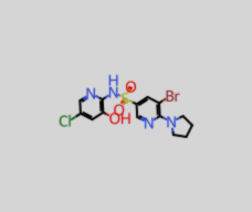 O=S(=O)(Nc1ncc(Cl)cc1O)c1cnc(N2CCCC2)c(Br)c1